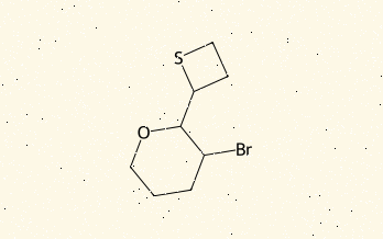 BrC1CCCOC1C1CCS1